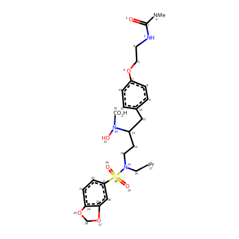 CNC(=O)NCCOc1ccc(CC(CCN(CC(C)C)S(=O)(=O)c2ccc3c(c2)OCO3)N(O)C(=O)O)cc1